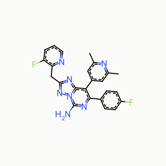 Cc1cc(-c2c(-c3ccc(F)cc3)nc(N)n3nc(Cc4ncccc4F)nc23)cc(C)n1